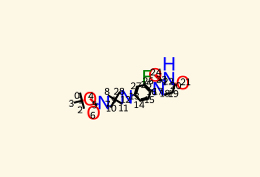 CC(C)(C)OC(=O)N1CC2(C1)CN(c1ccc(N3CCC(=O)NC3=O)c(F)c1)C2